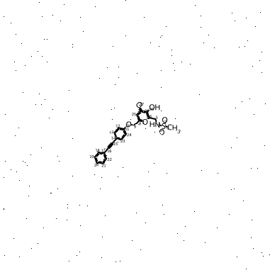 CS(=O)(=O)NCc1oc(COc2ccc(C#Cc3ccccc3)cc2)cc(=O)c1O